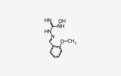 COc1ccccc1/C=N/NC(=N)NO